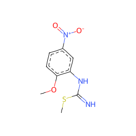 COc1ccc([N+](=O)[O-])cc1NC(=N)SC